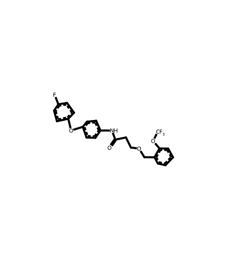 O=C(CCOCc1ccccc1OC(F)(F)F)Nc1ccc(Oc2ccc(F)cc2)cc1